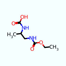 CCOC(=O)NCC(C)NC(=O)O